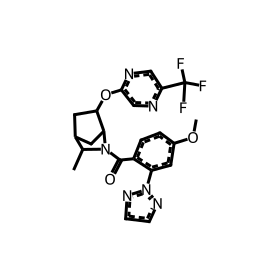 COc1ccc(C(=O)N2C(C)C3CC(Oc4cnc(C(F)(F)F)cn4)C2C3)c(-n2nccn2)c1